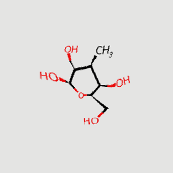 C[C@H]1[C@@H](O)[C@@H](CO)O[C@@H](O)[C@H]1O